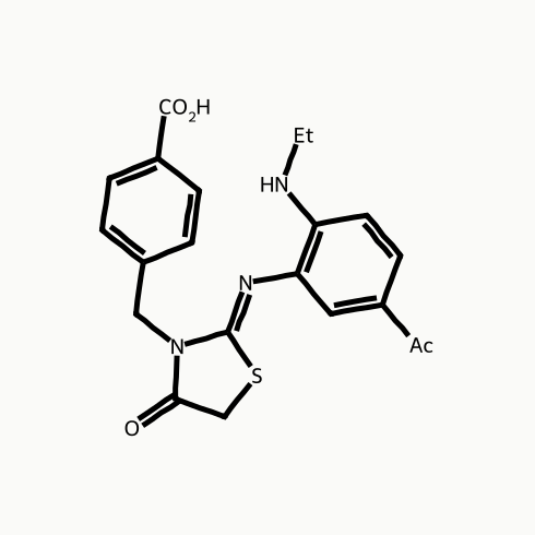 CCNc1ccc(C(C)=O)cc1N=C1SCC(=O)N1Cc1ccc(C(=O)O)cc1